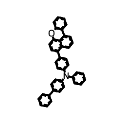 c1ccc(-c2ccc(N(c3ccccc3)c3ccc(-c4ccc5c6c(cccc46)-c4ccccc4O5)cc3)cc2)cc1